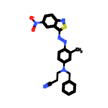 Cc1cc(N(CCC#N)Cc2ccccc2)ccc1N=Nc1snc2ccc([N+](=O)[O-])cc12